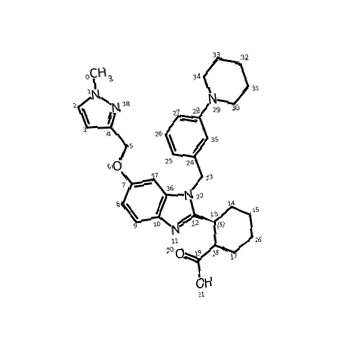 Cn1ccc(COc2ccc3nc([C@H]4CCCCC4C(=O)O)n(Cc4cccc(N5CCCCC5)c4)c3c2)n1